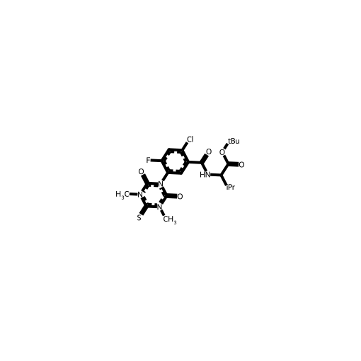 CC(C)C(NC(=O)c1cc(-n2c(=O)n(C)c(=S)n(C)c2=O)c(F)cc1Cl)C(=O)OC(C)(C)C